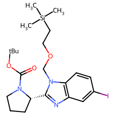 CC(C)(C)OC(=O)N1CCC[C@H]1c1nc2cc(I)ccc2n1COCC[Si](C)(C)C